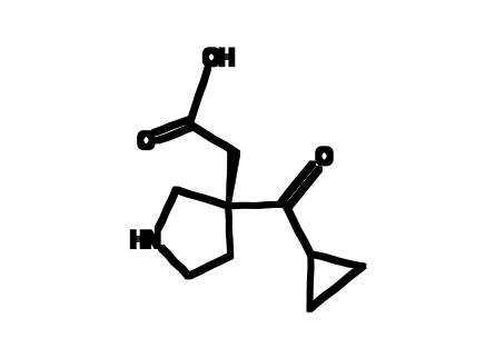 O=C(O)C[C@@]1(C(=O)C2CC2)CCNC1